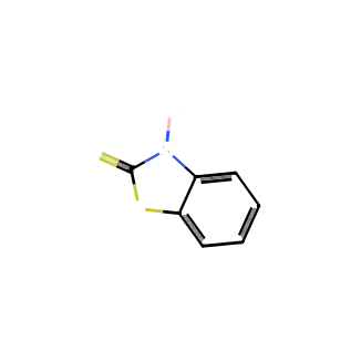 Bn1c(=S)sc2ccccc21